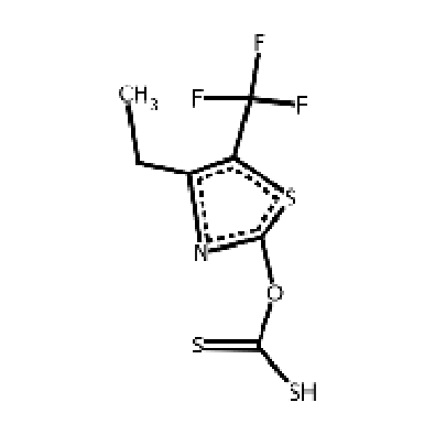 CCc1nc(OC(=S)S)sc1C(F)(F)F